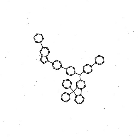 c1ccc(-c2ccc(N(c3ccc(-c4ccc(-n5ccc6cc(-c7ccccc7)ccc65)cc4)cc3)c3ccc4c(c3)C(c3ccccc3)(c3ccccc3)c3ccccc3-4)cc2)cc1